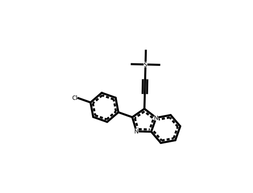 CS(C)(C)C#Cc1c(-c2ccc(Cl)cc2)nc2ccccn12